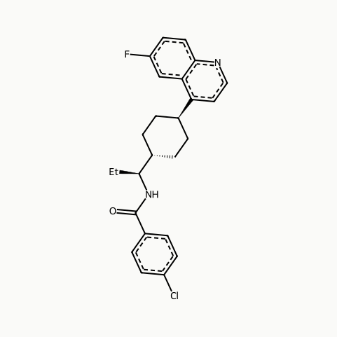 CC[C@H](NC(=O)c1ccc(Cl)cc1)[C@H]1CC[C@H](c2ccnc3ccc(F)cc32)CC1